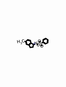 Cc1ccc2c(c1)CC/C2=N\OS(=O)(=O)c1ccccc1